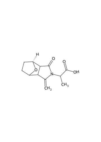 C=C1C2C3CC[C@H](O3)C2C(=O)N1C(C)C(=O)O